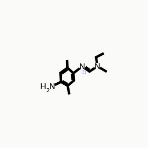 CCN(C)/C=N/c1cc(C)c(N)cc1C